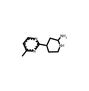 Cc1ccnc(C2CCNC(N)C2)n1